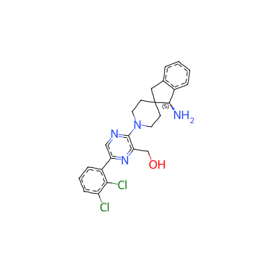 N[C@@H]1c2ccccc2CC12CCN(c1ncc(-c3cccc(Cl)c3Cl)nc1CO)CC2